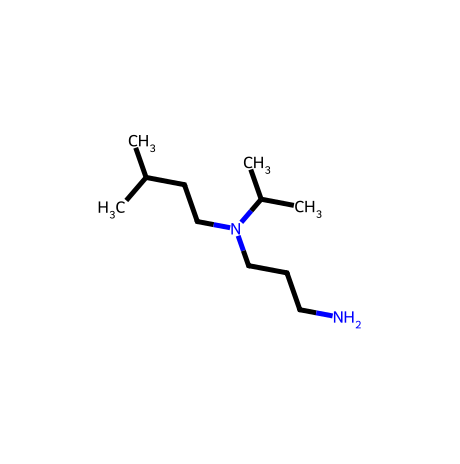 CC(C)CCN(CCCN)C(C)C